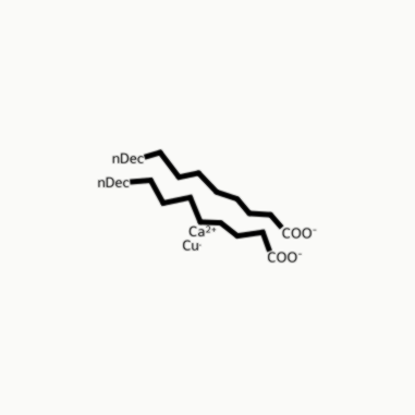 CCCCCCCCCCCCCCCCCC(=O)[O-].CCCCCCCCCCCCCCCCCC(=O)[O-].[Ca+2].[Cu]